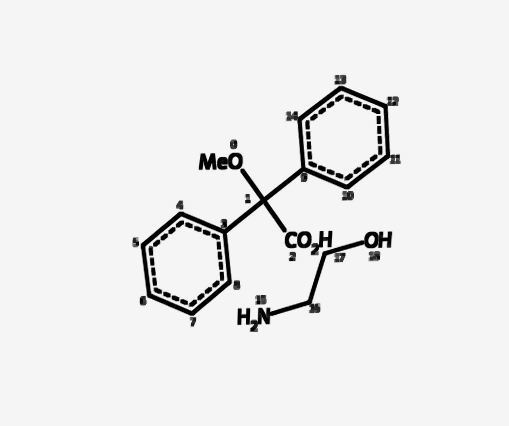 COC(C(=O)O)(c1ccccc1)c1ccccc1.NCCO